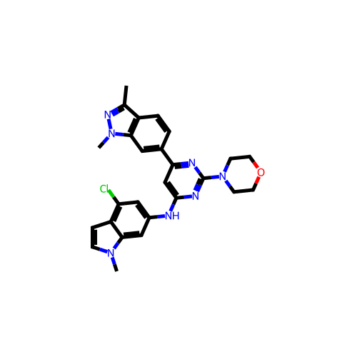 Cc1nn(C)c2cc(-c3cc(Nc4cc(Cl)c5ccn(C)c5c4)nc(N4CCOCC4)n3)ccc12